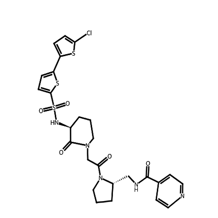 O=C(NC[C@@H]1CCCN1C(=O)CN1CCC[C@H](NS(=O)(=O)c2ccc(-c3ccc(Cl)s3)s2)C1=O)c1ccncc1